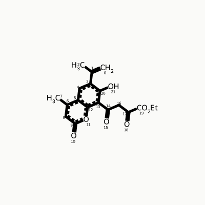 C=C(C)c1cc2c(C)cc(=O)oc2c(C(=O)CC(=O)C(=O)OCC)c1O